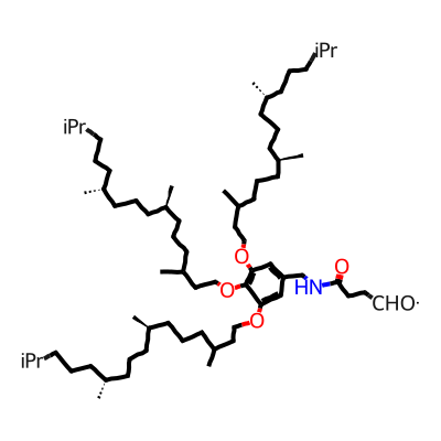 CC(C)CCC[C@@H](C)CCC[C@@H](C)CCCC(C)CCOc1cc(CNC(=O)CC[C]=O)cc(OCCC(C)CCC[C@H](C)CCC[C@H](C)CCCC(C)C)c1OCCC(C)CCC[C@H](C)CCC[C@H](C)CCCC(C)C